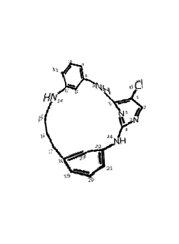 Clc1cnc2nc1Nc1cccc(c1)NCCCc1cccc(c1)N2